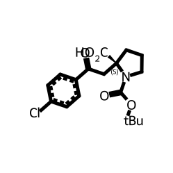 CC(C)(C)OC(=O)N1CCC[C@]1(CC(=O)c1ccc(Cl)cc1)C(=O)O